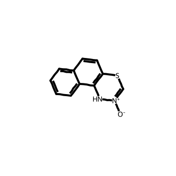 [O-][N+]1=CSc2ccc3ccccc3c2N1